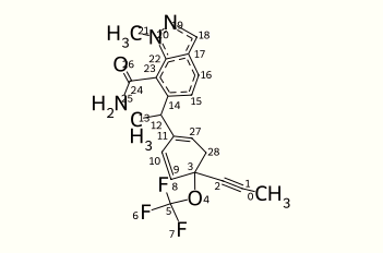 CC#CC1(OC(F)(F)F)C=CC(C(C)c2ccc3cnn(C)c3c2C(N)=O)=CC1